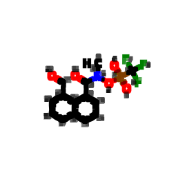 CN(OS(=O)(=O)C(F)(F)F)C(=O)c1cccc2cccc(C=O)c12